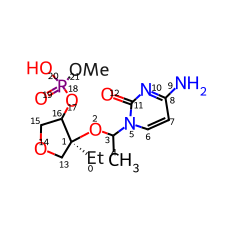 CC[C@]1(OC(C)n2ccc(N)nc2=O)COCC1OP(=O)(O)OC